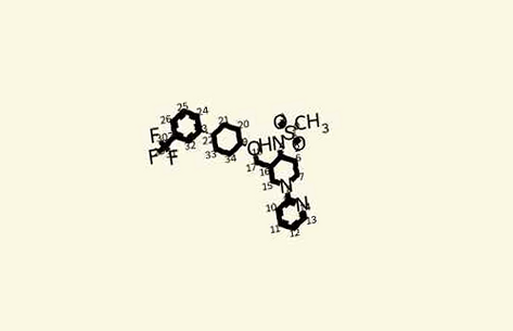 CS(=O)(=O)NC1CCN(c2ccccn2)CC1CO[C@H]1CC[C@@H](c2cccc(C(F)(F)F)c2)CC1